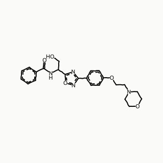 O=C(NC(CO)c1nc(-c2ccc(OCCN3CCOCC3)cc2)no1)c1ccccc1